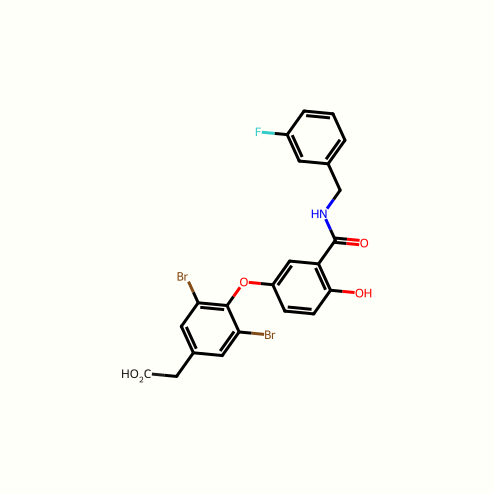 O=C(O)Cc1cc(Br)c(Oc2ccc(O)c(C(=O)NCc3cccc(F)c3)c2)c(Br)c1